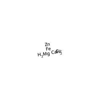 [CaH2].[Cu].[Fe].[MgH2].[Zn]